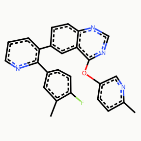 Cc1ccc(Oc2ncnc3ccc(-c4cccnc4-c4ccc(F)c(C)c4)cc23)cn1